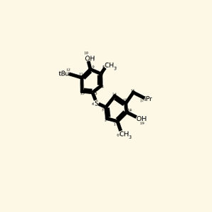 Cc1cc(Sc2cc(C)c(O)c(C(C)(C)C)c2)cc(CC(C)C)c1O